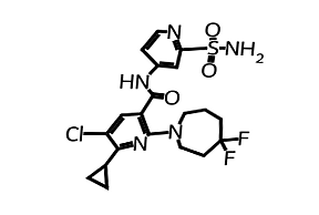 NS(=O)(=O)c1cc(NC(=O)c2cc(Cl)c(C3CC3)nc2N2CCCC(F)(F)CC2)ccn1